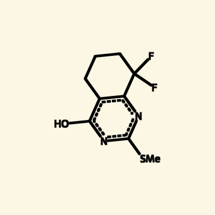 CSc1nc(O)c2c(n1)C(F)(F)CCC2